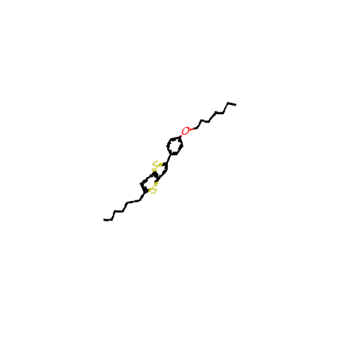 CCCCCCCOc1ccc(-c2cc3sc(CCCCCC)cc3s2)cc1